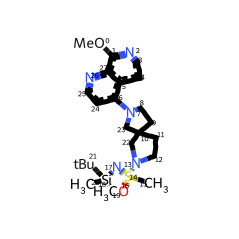 COc1nccc2c(N3CCC4(CCN(S(C)(=O)=N[Si](C)(C)C(C)(C)C)C4)C3)ccnc12